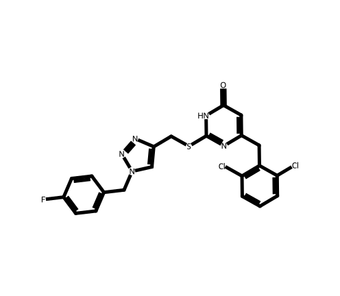 O=c1cc(Cc2c(Cl)cccc2Cl)nc(SCc2cn(Cc3ccc(F)cc3)nn2)[nH]1